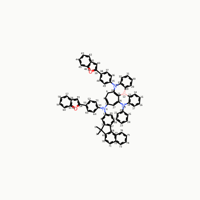 CC1(C)c2cc(N(C3=CCC4=C5B(c6ccccc6N(c6ccccc6)C5=C3)c3ccccc3N4c3ccc(-c4cc5ccccc5o4)cc3)c3ccc(-c4cc5ccccc5o4)cc3)ccc2-c2c1ccc1ccccc21